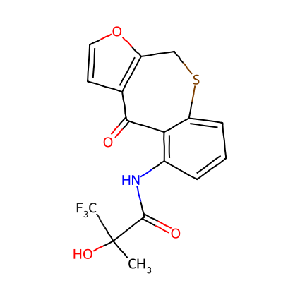 CC(O)(C(=O)Nc1cccc2c1C(=O)c1ccoc1CS2)C(F)(F)F